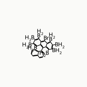 Bc1c(B)c(B)c2c(-c3cccc4ccccc34)c3c(B)c(B)c(B)c(B)c3c(Br)c2c1B